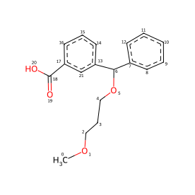 COCCCOC(c1ccccc1)c1cccc(C(=O)O)c1